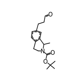 CC1c2cc(CCC=O)ccc2CCN1C(=O)OC(C)(C)C